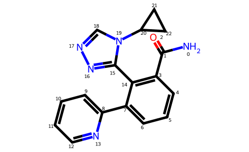 NC(=O)c1cccc(-c2ccccn2)c1-c1nncn1C1CC1